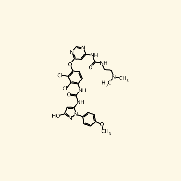 COc1ccc(-n2nc(O)cc2NC(=O)Nc2ccc(Oc3cc(NC(=O)NCCN(C)C)ncn3)c(Cl)c2Cl)cc1